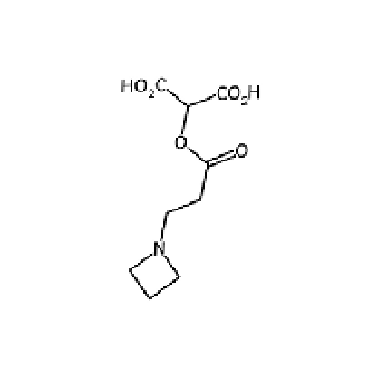 O=C(CCN1CCC1)OC(C(=O)O)C(=O)O